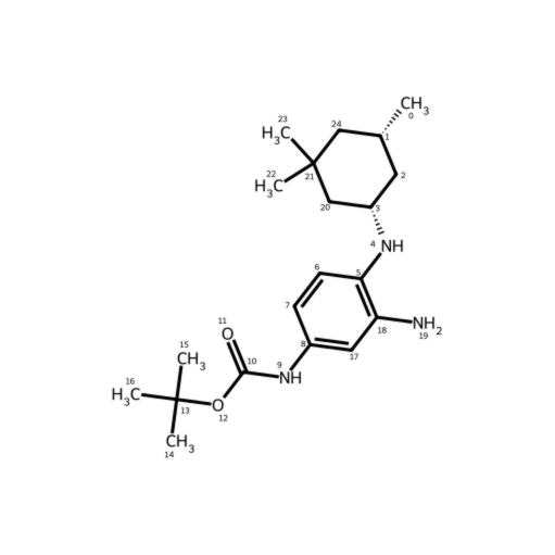 C[C@@H]1C[C@H](Nc2ccc(NC(=O)OC(C)(C)C)cc2N)CC(C)(C)C1